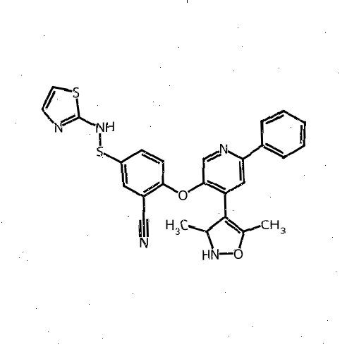 CC1=C(c2cc(-c3ccccc3)ncc2Oc2ccc(SNc3nccs3)cc2C#N)C(C)NO1